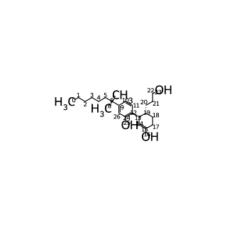 CCCCCCC(C)(C)c1ccc([C@@H]2C=C(O)CC[C@H]2CCCO)c(O)c1